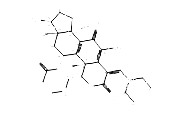 CCN(C=C1C(=O)O[C@H](COC)[C@@]2(C)C1=C(O)C(=O)C1=C2[C@H](OC(C)=O)C[C@]2(C)[C@@H](O)CC[C@@H]12)CC